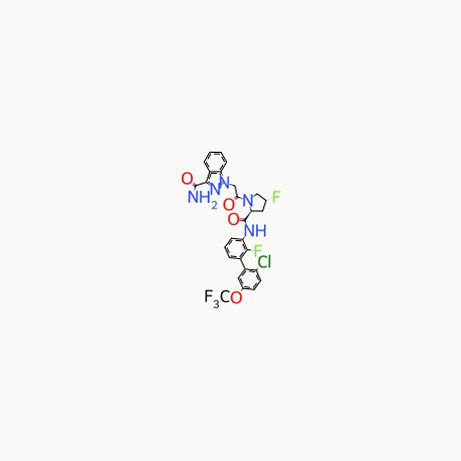 NC(=O)c1nn(CC(=O)N2C[C@H](F)C[C@H]2C(=O)Nc2cccc(-c3cc(OC(F)(F)F)ccc3Cl)c2F)c2ccccc12